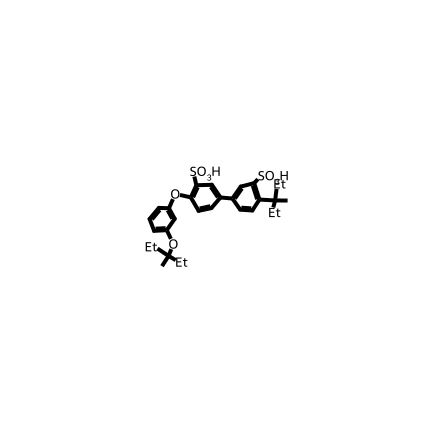 CCC(C)(CC)Oc1cccc(Oc2ccc(-c3ccc(C(C)(CC)CC)c(S(=O)(=O)O)c3)cc2S(=O)(=O)O)c1